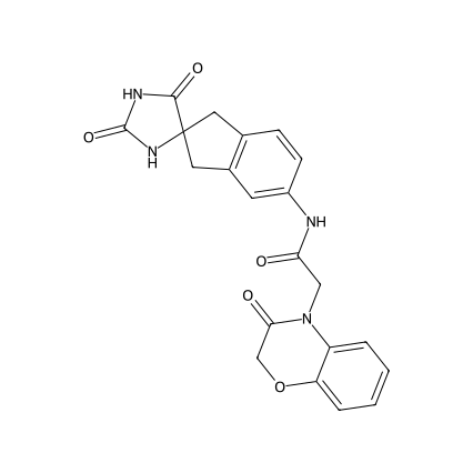 O=C(CN1C(=O)COc2ccccc21)Nc1ccc2c(c1)CC1(C2)NC(=O)NC1=O